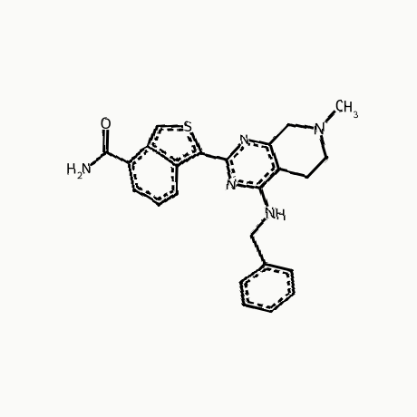 CN1CCc2c(nc(-c3scc4c(C(N)=O)cccc34)nc2NCc2ccccc2)C1